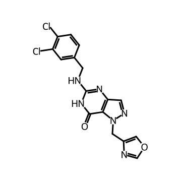 O=c1[nH]c(NCc2ccc(Cl)c(Cl)c2)nc2cnn(Cc3cocn3)c12